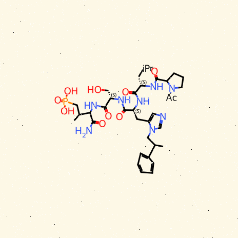 CC(=O)N1CCCC1C(=O)N[C@@H](CC(C)C)C(=O)N[C@@H](Cc1cncn1CC(C)c1ccccc1)C(=O)N[C@@H](CO)C(=O)NC(C(N)=O)C(C)CP(=O)(O)O